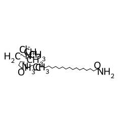 C=CC[N+](C)(C)C.CCCCCCCCCCCCCCCCCC(N)=O.CCCN1CCCC1=O.[Cl-]